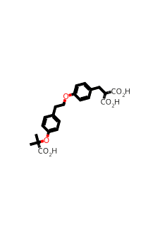 CC(C)(Oc1ccc(CCOc2ccc(CC(C(=O)O)C(=O)O)cc2)cc1)C(=O)O